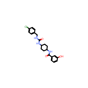 O=C(NCc1ccc(Cl)cc1)NC1CCC(NC(=O)c2cccc(O)c2)CC1